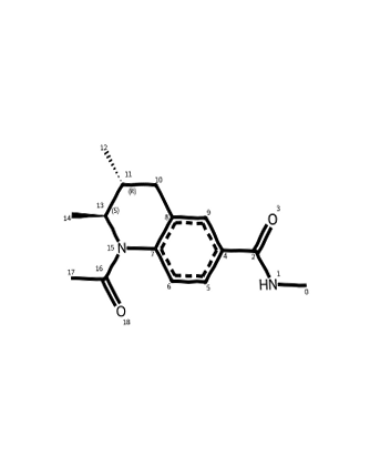 CNC(=O)c1ccc2c(c1)C[C@@H](C)[C@H](C)N2C(C)=O